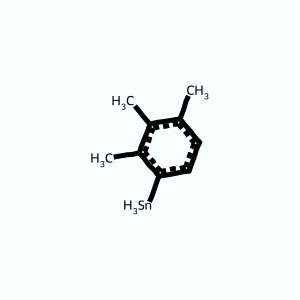 Cc1cc[c]([SnH3])c(C)c1C